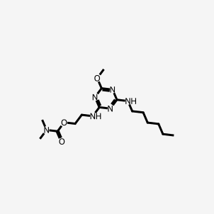 CCCCCCNc1nc(NCCOC(=O)N(C)C)nc(OC)n1